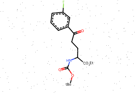 CCOC(=O)C(CCC(=O)c1cccc(F)c1)NC(=O)OC(C)(C)C